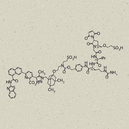 Cc1c(-c2ccc(-c3ccc4cccc(C(=O)Nc5nc6ccccc6s5)c4c3)nc2C(=O)O)cnn1CC12CC3(C)CC(C)(C1)CC(OCCN(CCS(=O)(=O)O)C(=O)OCc1ccc(NC(=O)[C@H](CCCNC(N)=O)NC(=O)[C@@H](NC(=O)CN4C(=O)C(N5C(=O)C=CC5=O)C[C@H]4COCCS(=O)(=O)O)C(C)C)cc1)(C3)C2